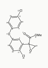 COC(=O)C1(c2cc(Oc3ccc(Cl)cc3)ccc2Cl)CO1